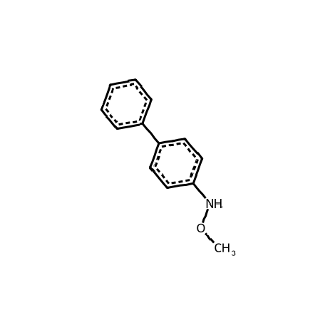 CONc1ccc(-c2ccccc2)cc1